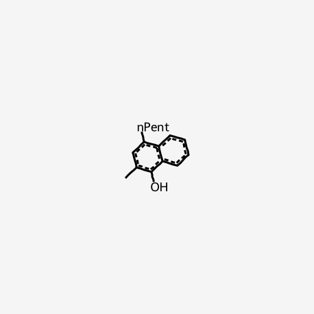 CCCCCc1cc(C)c(O)c2ccccc12